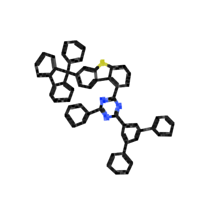 c1ccc(-c2cc(-c3ccccc3)cc(-c3nc(-c4ccccc4)nc(-c4cccc5sc6cc(C7(c8ccccc8)c8ccccc8-c8ccccc87)ccc6c45)n3)c2)cc1